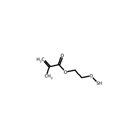 C=C(C)C(=O)OCCOS